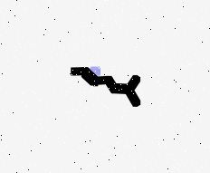 C/C=[C]/CC=C(C)C